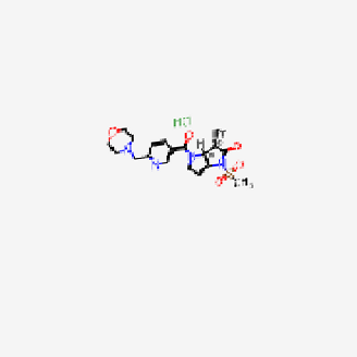 CC(C)[C@H]1C(=O)N(S(C)(=O)=O)C2=CCN(C(=O)c3ccc(CN4CCOCC4)nc3)[C@@H]21.Cl